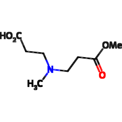 COC(=O)CCN(C)CCC(=O)O